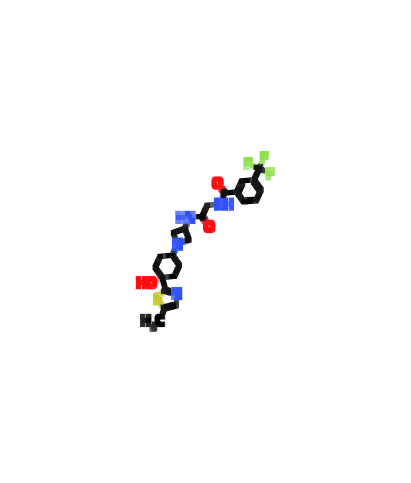 Cc1cnc([C@]2(O)CC[C@H](N3CC(NC(=O)CNC(=O)c4cccc(C(F)(F)F)c4)C3)CC2)s1